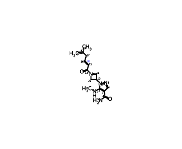 CNc1c(C(N)=O)cnn1C1CN(C(=O)/C=C/CN(C)C)C1